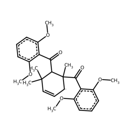 COc1cccc(OC)c1C(=O)C1C(C)(C)C=C[CH]C1(C)C(=O)c1c(OC)cccc1OC